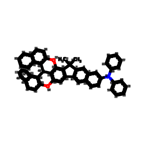 CC1(C)c2cc3cc(N(c4ccccc4)c4ccccc4)ccc3cc2-c2cc3c4c(c21)Oc1ccc2ccccc2c1B4c1c(ccc2ccccc12)O3